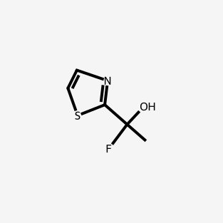 CC(O)(F)c1nccs1